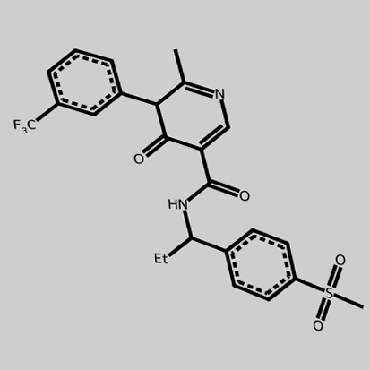 CCC(NC(=O)C1=CN=C(C)C(c2cccc(C(F)(F)F)c2)C1=O)c1ccc(S(C)(=O)=O)cc1